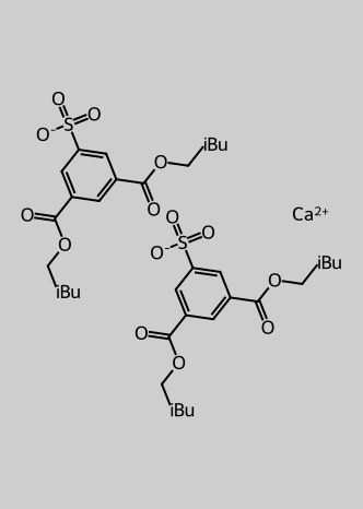 CCC(C)COC(=O)c1cc(C(=O)OCC(C)CC)cc(S(=O)(=O)[O-])c1.CCC(C)COC(=O)c1cc(C(=O)OCC(C)CC)cc(S(=O)(=O)[O-])c1.[Ca+2]